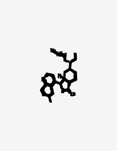 C=C[C@@H](CN=[N+]=[N-])[C@H]1CCN2C(=O)S[C@@H](c3ccnc4ccc(C)cc34)[C@@H]2C1